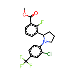 COC(=O)c1cccc(C2CCCN2c2ccc(C(F)(F)F)cc2Cl)c1F